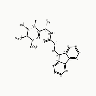 CC[C@H](C)[C@@H]([C@@H](CC(=O)O)OC)N(C)C(=O)[C@@H](NC(=O)OCC1c2ccccc2-c2ccccc21)C(C)C